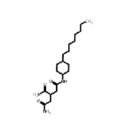 CCCCCCCCC1CCC(NC(=O)CC(CC(N)=O)C(N)=O)CC1